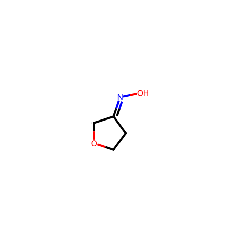 ON=C1[CH]OCC1